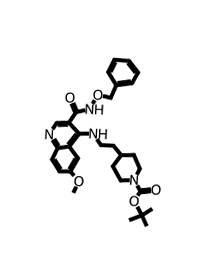 COc1ccc2ncc(C(=O)NOCc3ccccc3)c(NCCC3CCN(C(=O)OC(C)(C)C)CC3)c2c1